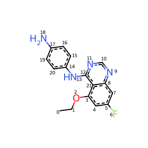 CCOc1cc(F)cc2ncnc(Nc3ccc(N)cc3)c12